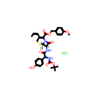 C/C=C\C1=C(C(=O)OCc2ccc(OC)cc2)N2C(=O)[C@@H](NC(=O)C(NC(=O)OC(C)(C)C)c3ccc(O)cc3)[C@H]2SC1.Cl